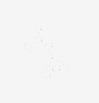 CCc1nc2c3c(-c4ccc(-c5cccc(-c6cc(-c7cccnc7)nc(-c7cccnc7)c6)c5)cc4)nc4ccccc4c3ccc2n1-c1ccccc1